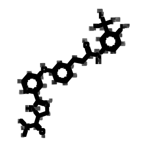 CN(C)C(=O)C1CN=C(c2cc(Oc3cccc(/C=C/C(=O)Nc4ccc(F)c(C(F)(F)F)c4)c3)ccn2)N1